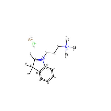 CC[N+](CC)(CC)CCC[N+]1=C(C)C(C)(C)c2ccccc21.[Br-].[Cl-]